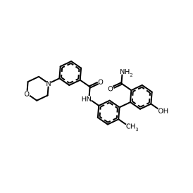 Cc1ccc(NC(=O)c2cccc(N3CCOCC3)c2)cc1-c1cc(O)ccc1C(N)=O